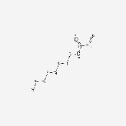 [CH2]CCCCCC[CH]OC(=O)C=C